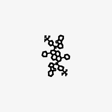 FC(F)(F)c1ccc(N(c2cc(-c3ccccc3)c3ccc4c(N(c5ccc(C(F)(F)F)cc5)c5cccc6c5oc5ccccc56)cc(-c5ccccc5)c5ccc2c3c54)c2cccc3c2oc2ccccc23)cc1